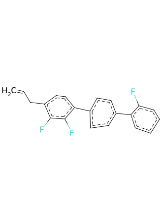 C=CCc1ccc(-c2ccc(-c3ccccc3F)cc2)c(F)c1F